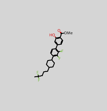 COC(=O)c1ccc(-c2ccc(C3CCC(CCCC(C)(F)F)CC3)c(F)c2F)cc1O